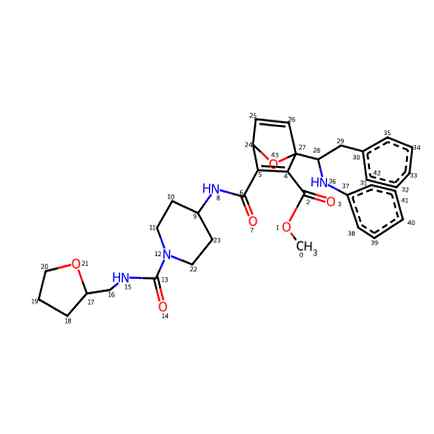 COC(=O)C1=C(C(=O)NC2CCN(C(=O)NCC3CCCO3)CC2)C2C=CC1(C(Cc1ccccc1)Nc1ccccc1)O2